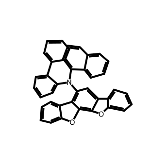 c1ccc(-c2ccccc2N(c2cccc3ccccc23)c2cc3c4ccccc4oc3c3oc4ccccc4c23)cc1